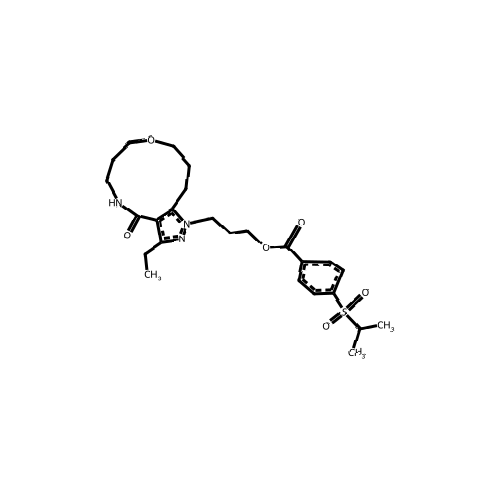 CCc1nn(CCCOC(=O)c2ccc(S(=O)(=O)C(C)C)cc2)c2c1C(=O)NCCCOCCC2